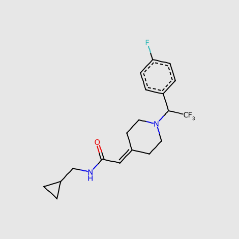 O=C(C=C1CCN(C(c2ccc(F)cc2)C(F)(F)F)CC1)NCC1CC1